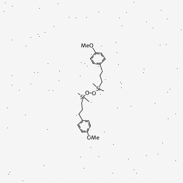 COc1ccc(CCC[Si](C)(C)OO[Si](C)(C)CCCc2ccc(OC)cc2)cc1